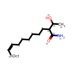 CCCCCCCC/C=C\CCCCCCC(C(N)=O)C(C)O